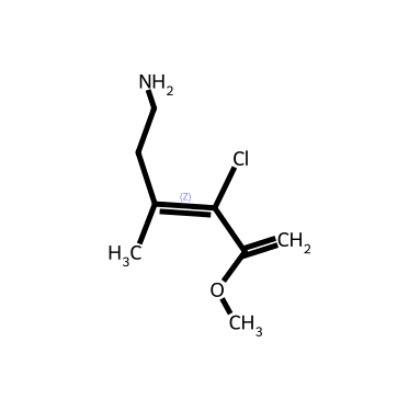 C=C(OC)/C(Cl)=C(\C)CCN